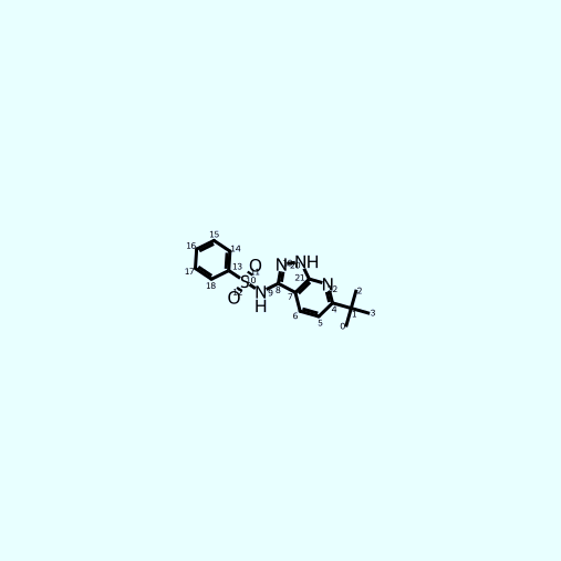 CC(C)(C)c1ccc2c(NS(=O)(=O)c3ccccc3)n[nH]c2n1